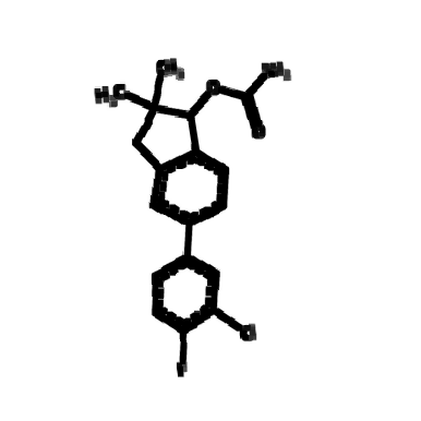 CC1(C)Cc2cc(-c3ccc(F)c(Cl)c3)ccc2C1OC(N)=O